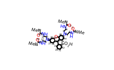 CNC(=O)NCCN(CCNC(=O)NC)c1ccc2c(-c3ccccc3C(=O)O)c3ccc(=[N+](CCNC(=O)NC)CCNC(=O)NC)cc-3oc2c1